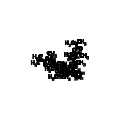 C=C(C)C(=O)OC(C)(CC)CC(CC)[Si](C)(C)O[Si](C)(c1ccccc1)C(C)(C)O[Si](C)(C)C(C)(CC)O[Si](C)(C)C(C)(C)CC(C)(CC)OC(=O)C(=C)C